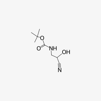 CC(C)(C)OC(=O)NCC(O)C#N